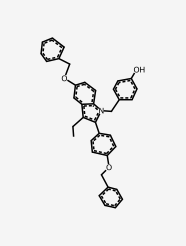 CCc1c(-c2ccc(OCc3ccccc3)cc2)n(Cc2ccc(O)cc2)c2ccc(OCc3ccccc3)cc12